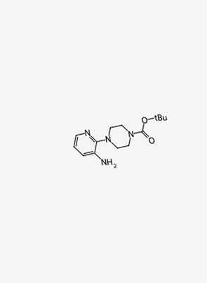 CC(C)(C)OC(=O)N1CCN(c2ncccc2N)CC1